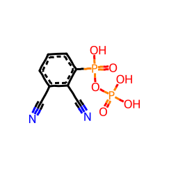 N#Cc1cccc(P(=O)(O)OP(=O)(O)O)c1C#N